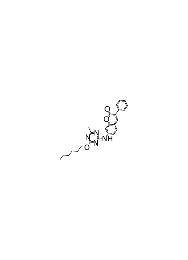 CCCCCCOc1nc(C)nc(Nc2ccc3cc(-c4ccccc4)c(=O)oc3c2)n1